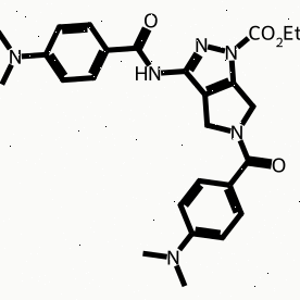 CCOC(=O)n1nc(NC(=O)c2ccc(N(C)C)cc2)c2c1CN(C(=O)c1ccc(N(C)C)cc1)C2